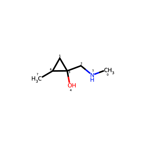 CNCC1(O)CC1C